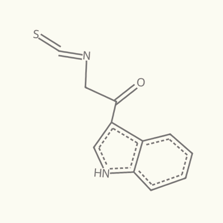 O=C(CN=C=S)c1c[nH]c2ccccc12